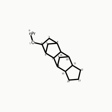 CCCOC1CC2CC1C1C3CC(C4CCCC43)C21